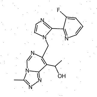 Cc1nnc2c(C(C)O)c(Cn3ccnc3-c3ncccc3F)ncn12